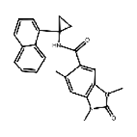 Cc1cc2c(cc1C(=O)NC1(c3cccc4ccccc34)CC1)n(C)c(=O)n2C